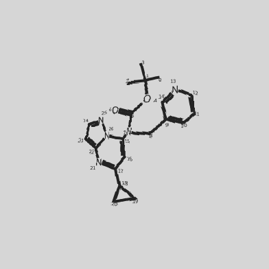 CC(C)(C)OC(=O)N(Cc1cccnc1)c1cc(C2CC2)nc2ccnn12